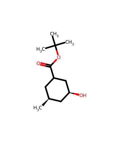 C[C@H]1CC(C(=O)OC(C)(C)C)C[C@@H](O)C1